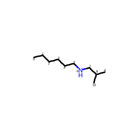 CCCCCCNCC(C)C